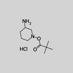 CC(C)(C)C(=O)ON1CCCC(N)C1.Cl